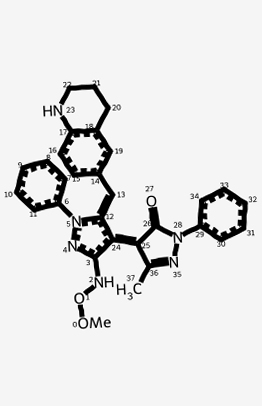 COONc1nn(-c2ccccc2)c(=C\c2ccc3c(c2)CCCN3)/c1=C1\C(=O)N(c2ccccc2)N=C1C